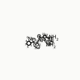 CN(C)c1ccccc1C(=O)N1CCOCC1CNC(=O)c1ccc([C@H](N)C(ON)C(C)(F)F)s1